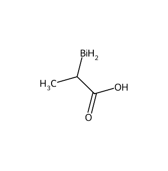 C[CH]([BiH2])C(=O)O